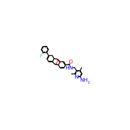 Cc1cc(N)nc(C)c1CNC(=O)C1=CC2C(C=C1)C1OC2C2CC(c3ccccc3F)=CC=C21